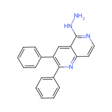 NNc1nccc2nc(-c3cc[c]cc3)c(-c3ccccc3)cc12